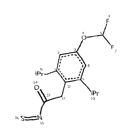 CC(C)c1cc(OC(F)F)cc(C(C)C)c1CC(=O)N=S